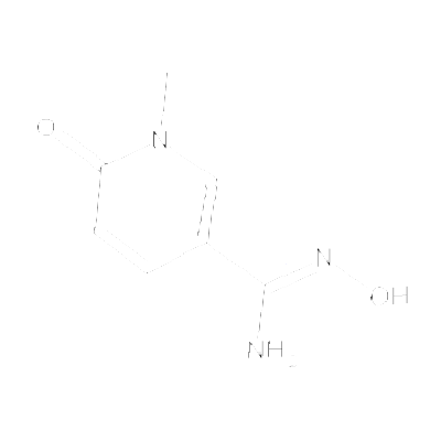 Cn1cc(/C(N)=N/O)ccc1=O